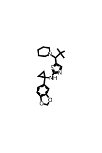 CC(C)(C)C(c1cnc(NC2(c3ccc4c(c3)OCO4)CC2)s1)N1CCCCC1